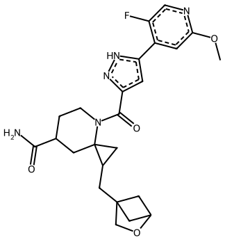 COc1cc(-c2cc(C(=O)N3CCC(C(N)=O)CC34CC4CC34COC(C3)C4)n[nH]2)c(F)cn1